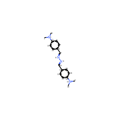 CN(C)c1ccc(C=NN=Cc2ccc(N(C)C)cc2)cc1